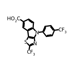 O=C(O)c1ccc2c(c1)c1sc(C(F)(F)F)nc1n2-c1ccc(C(F)(F)F)cc1